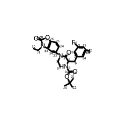 CCN(C(=O)C(Cc1cc(F)cc(F)c1)NC(=O)OC(C)(C)C)c1ccc2oc(=O)n(CC)c2c1